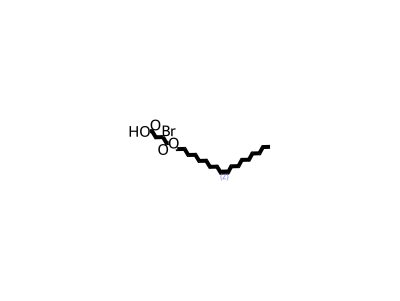 CCCCCCCC/C=C\CCCCCCCCOC(=O)C(Br)CC(=O)O